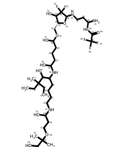 CCC(C)(CC)C(O)C(CCCCNC(O)CCOC(C)(C)CO)NC(O)CCCC(O)OC[C@H]1OC(NCCC(N)NC(=O)C(F)(F)F)C(F)(F)C1O